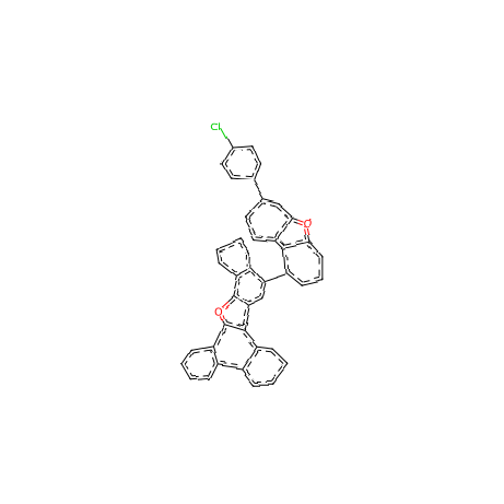 Clc1ccc(-c2ccc3c(c2)oc2cccc(-c4cc5c(oc6c7ccccc7c7ccccc7c56)c5ccccc45)c23)cc1